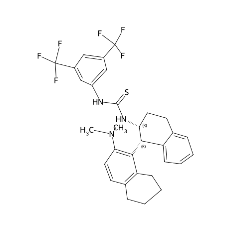 CN(C)c1ccc2c(c1[C@H]1c3ccccc3CC[C@H]1NC(=S)Nc1cc(C(F)(F)F)cc(C(F)(F)F)c1)CCCC2